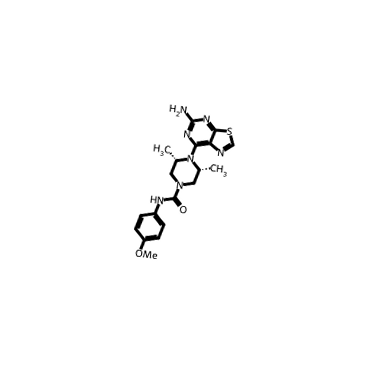 COc1ccc(NC(=O)N2C[C@@H](C)N(c3nc(N)nc4scnc34)[C@@H](C)C2)cc1